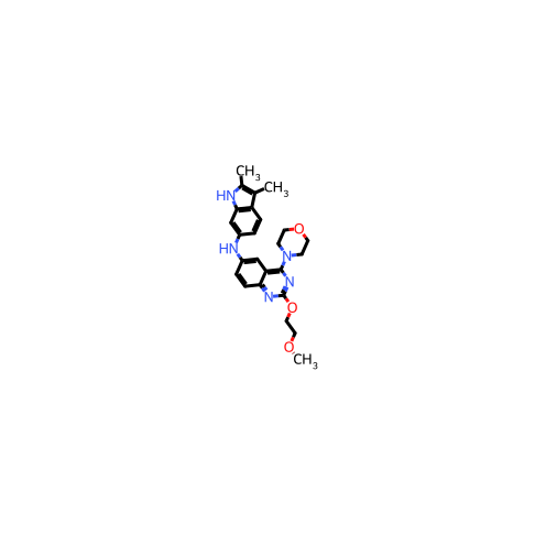 COCCOc1nc(N2CCOCC2)c2cc(Nc3ccc4c(C)c(C)[nH]c4c3)ccc2n1